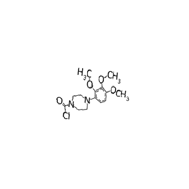 COc1ccc(N2CCN(C(=O)Cl)CC2)c(OC)c1OC